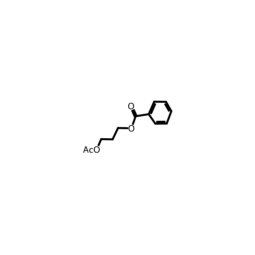 CC(=O)OCCCOC(=O)c1ccccc1